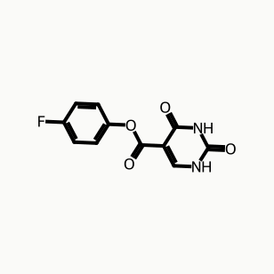 O=C(Oc1ccc(F)cc1)c1c[nH]c(=O)[nH]c1=O